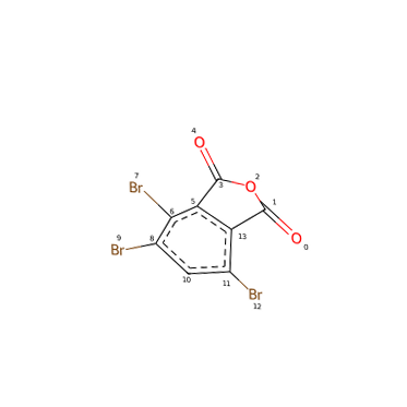 O=C1OC(=O)c2c(Br)c(Br)cc(Br)c21